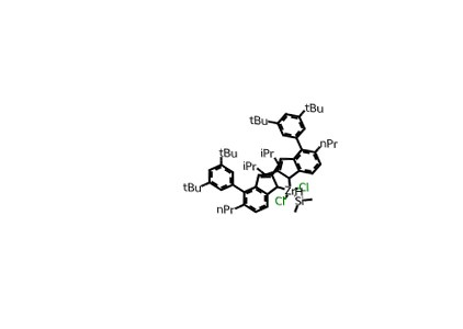 CCCc1ccc2c(c1-c1cc(C(C)(C)C)cc(C(C)(C)C)c1)C=C(CC(C)C)[CH]2[Zr]([Cl])([Cl])([CH]1C(CC(C)C)=Cc2c1ccc(CCC)c2-c1cc(C(C)(C)C)cc(C(C)(C)C)c1)[SiH](C)C